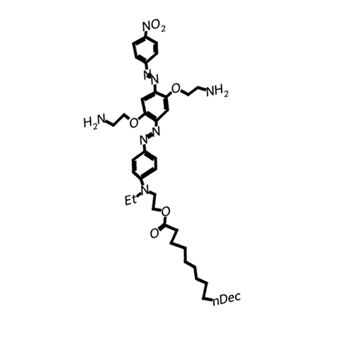 CCCCCCCCCCCCCCCCCCC(=O)OCCN(CC)c1ccc(N=Nc2cc(OCCN)c(/N=N/c3ccc([N+](=O)[O-])cc3)cc2OCCN)cc1